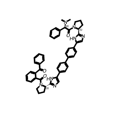 CN(C)[C@@H](C(=O)N1CCC[C@H]1c1ncc(-c2ccc(-c3ccc(-c4cnc([C@@H]5CCCN5C(=O)c5ccccc5C(=O)c5ccccc5)[nH]4)cc3)cc2)[nH]1)c1ccccc1